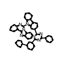 c1ccc(-c2cccc(-c3nc(-c4ccccc4)nc(-c4ccc5c6ccccc6n(-c6nc7ccccc7c7nc8ccccc8n67)c5c4)n3)c2)cc1